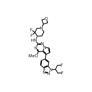 COc1nc(N[C@@H]2CCN(C3COC3)CC2(F)F)nn2ccc(-c3ccc4nnn(C(CF)CF)c4c3)c12